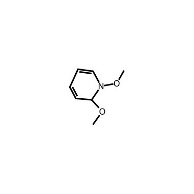 COC1C=CC=CN1OC